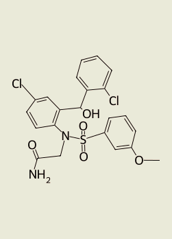 COc1cccc(S(=O)(=O)N(CC(N)=O)c2ccc(Cl)cc2C(O)c2ccccc2Cl)c1